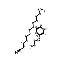 CCCCCCCCCCC=CC#N.OCCOc1ccccc1